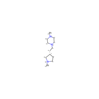 CC(C)N1CCN(CC[C@@H]2CCN(C(C)C)C2)CC1